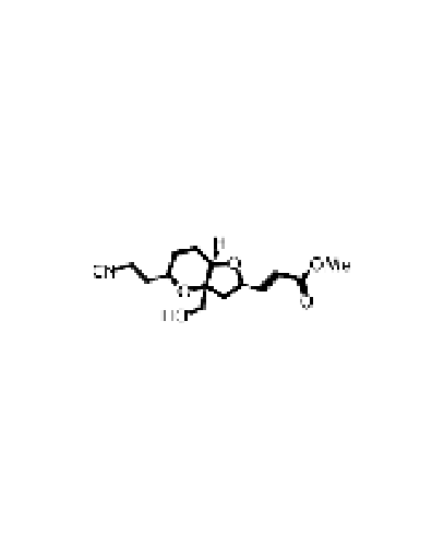 [C-]#[N+]CC[C@H]1CC[C@@H]2O[C@@H](/C=C/C(=O)OC)C[C@]2(CO)O1